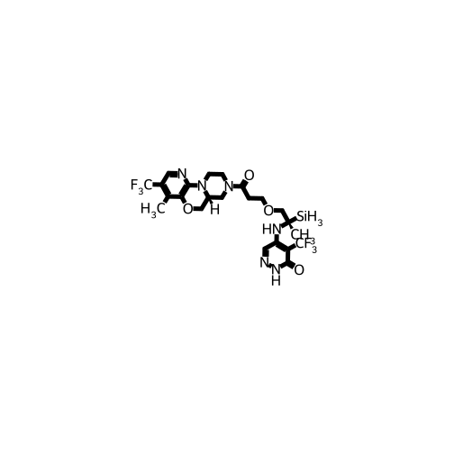 Cc1c(C(F)(F)F)cnc2c1OC[C@H]1CN(C(=O)CCOC[C@](C)([SiH3])Nc3cn[nH]c(=O)c3C(F)(F)F)CCN21